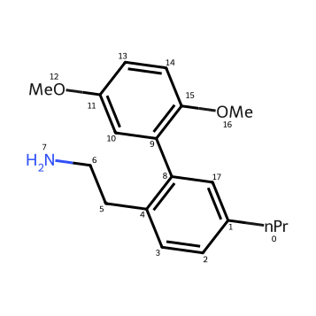 CCCc1ccc(CCN)c(-c2cc(OC)ccc2OC)c1